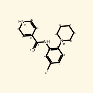 O=C(Nc1cc(I)ccc1N1CCCCC1)C1=CCNC=C1